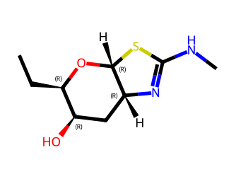 CC[C@H]1O[C@@H]2SC(NC)=N[C@@H]2C[C@H]1O